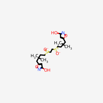 CC(C)(CC[S+]([O-])CC[S+]([O-])CCC(C)(C)Cc1cc(O)no1)Cc1cc(O)no1